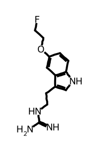 N=C(N)NCCc1c[nH]c2ccc(OCCF)cc12